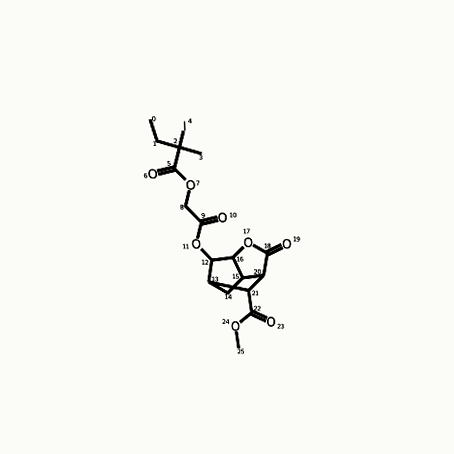 CCC(C)(I)C(=O)OCC(=O)OC1C2CC3C1OC(=O)C3C2C(=O)OC